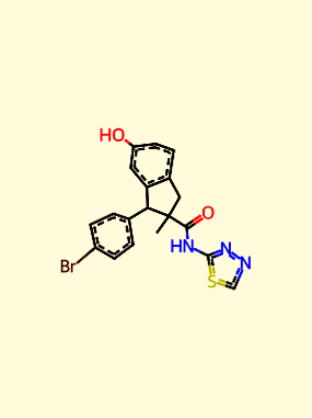 CC1(C(=O)Nc2nncs2)Cc2ccc(O)cc2C1c1ccc(Br)cc1